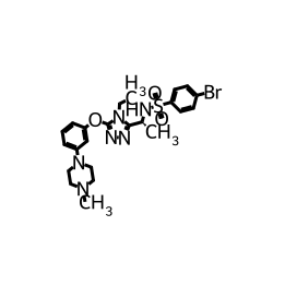 CCn1c(Oc2cccc(N3CCN(C)CC3)c2)nnc1[C@@H](C)NS(=O)(=O)c1ccc(Br)cc1